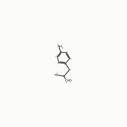 Nc1ccc(CC(S)[C]=O)cc1